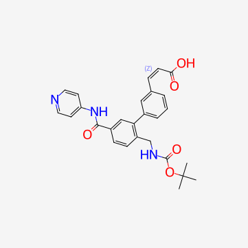 CC(C)(C)OC(=O)NCc1ccc(C(=O)Nc2ccncc2)cc1-c1cccc(/C=C\C(=O)O)c1